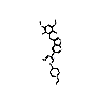 CCN1CCC(N/C=C(\C=N)c2cnc3[nH]cc(Cc4c(F)c(OC)cc(OC)c4F)c3c2)CC1